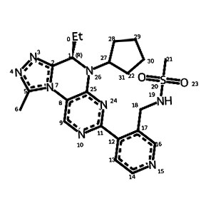 CC[C@@H]1c2nnc(C)n2-c2cnc(-c3ccncc3CNS(C)(=O)=O)nc2N1C1CCCC1